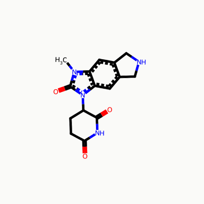 Cn1c(=O)n(C2CCC(=O)NC2=O)c2cc3c(cc21)CNC3